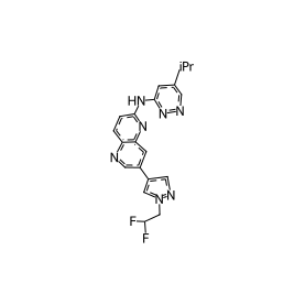 CC(C)c1cnnc(Nc2ccc3ncc(-c4cnn(CC(F)F)c4)cc3n2)c1